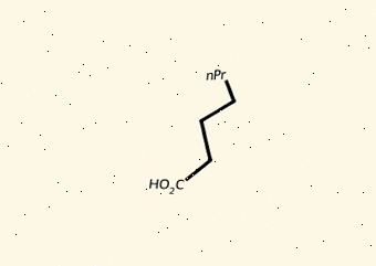 [13CH3][13CH2][13CH2]CCCC(=O)O